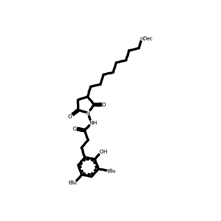 CCCCCCCCCCCCCCCCCCC1CC(=O)N(NC(=O)CCc2cc(C(C)(C)C)cc(C(C)(C)C)c2O)C1=O